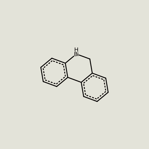 c1ccc2c(c1)[CH2][BiH][c]1ccccc1-2